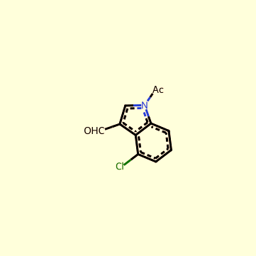 CC(=O)n1cc(C=O)c2c(Cl)cccc21